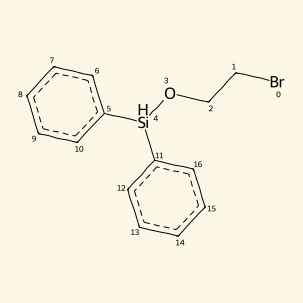 BrCCO[SiH](c1ccccc1)c1ccccc1